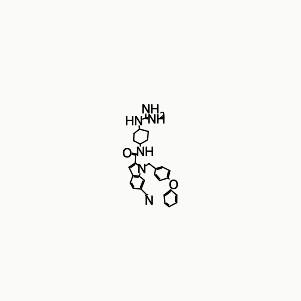 N#Cc1ccc2cc(C(=O)NC3CCC(NC(=N)N)CC3)n(Cc3ccc(Oc4ccccc4)cc3)c2c1